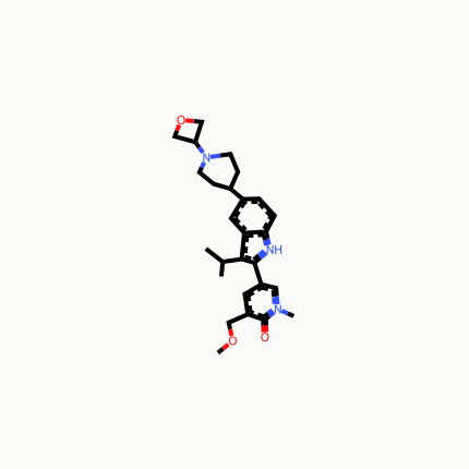 COCc1cc(-c2[nH]c3ccc(C4CCN(C5COC5)CC4)cc3c2C(C)C)cn(C)c1=O